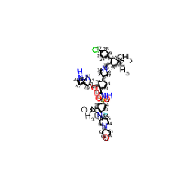 CN(c1ccc(S(=O)(=O)NC(=O)c2ccc(C3=CCN(CC4=C(c5ccc(Cl)cc5)CC(C)(C)CC4)CC3)cc2Oc2cnc3[nH]ccc3c2)cc1[N+](=O)[O-])C1(F)CCN(C2CCOCC2)CC1